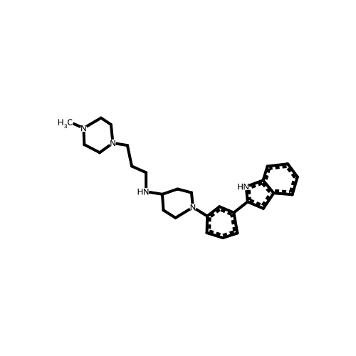 CN1CCN(CCCNC2CCN(c3cccc(-c4cc5ccccc5[nH]4)c3)CC2)CC1